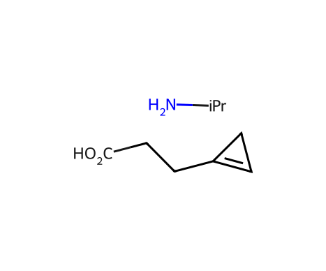 CC(C)N.O=C(O)CCC1=CC1